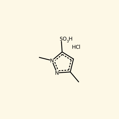 Cc1cc(S(=O)(=O)O)n(C)n1.Cl